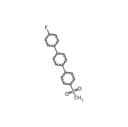 CS(=O)(=O)c1ccc(-c2ccc(-c3ccc(F)cc3)cc2)cc1